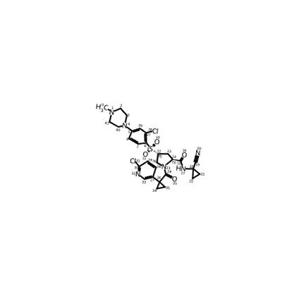 CN1CCN(c2ccc(S(=O)(=O)[C@@H]3C[C@@H](C(=O)NC4(C#N)CC4)N(C(=O)C4(c5ccc(Cl)nc5)CC4)C3)c(Cl)c2)CC1